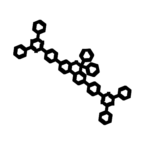 c1ccc(-c2nc(-c3ccccc3)nc(-c3ccc(-c4ccc5c(c4)OC(c4ccccc4)(c4ccccc4)c4cc(-c6ccc(-c7nc(-c8ccccc8)nc(-c8ccccc8)n7)cc6)ccc4-5)cc3)n2)cc1